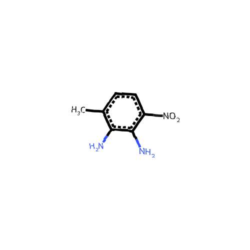 Cc1ccc([N+](=O)[O-])c(N)c1N